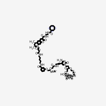 CC1CC(C)(C)N(CCCC(=O)NCCCCCNC(=O)c2cccc(OCC(N=[N+]=[N-])OCC(=O)NCC#Cc3cn(C4CC(OCN=[N+]=[N-])C(COP(=O)(O)OP(=O)(O)OP(=O)(O)O)O4)c(=O)nc3N)c2)c2cc3oc(=O)c(C(=O)NCCNC(=O)C4=C/C=C\C=C/C=C\4)cc3cc21